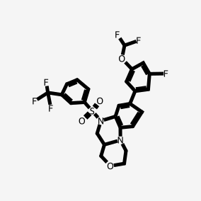 O=S(=O)(c1cccc(C(F)(F)F)c1)N1CC2COCCN2c2ccc(-c3cc(F)cc(OC(F)F)c3)cc21